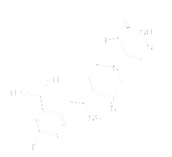 CC(C)c1cc(F)ccc1Oc1ncnc2c1CCN(c1cn[nH]c(=O)c1Cl)C2